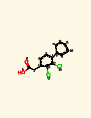 O=C(O)Cc1ccc(-c2ccccc2)c(Cl)c1Cl